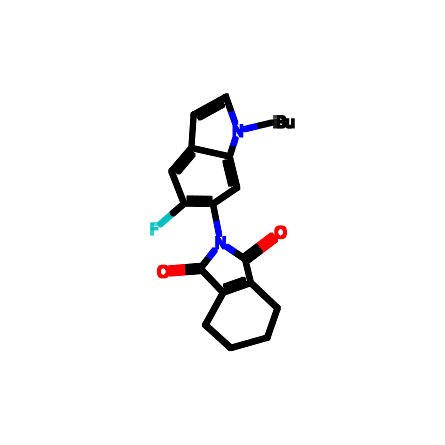 CCC(C)n1ccc2cc(F)c(N3C(=O)C4=C(CCCC4)C3=O)cc21